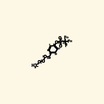 COOOSc1ccc(OS(=O)(=O)C(F)(F)F)cc1